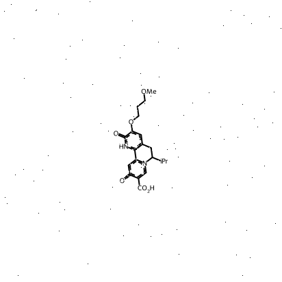 COCCCOc1cc2c([nH]c1=O)-c1cc(=O)c(C(=O)O)cn1C(C(C)C)C2